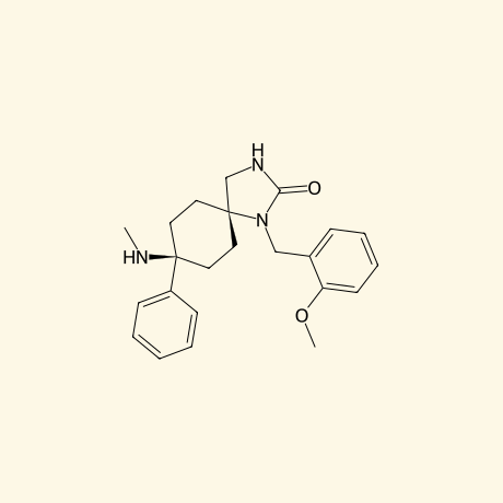 CN[C@]1(c2ccccc2)CC[C@@]2(CC1)CNC(=O)N2Cc1ccccc1OC